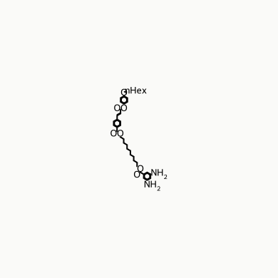 CCCCCCOc1ccc(OC(=O)C=Cc2ccc(C(=O)OCCCCCCCCCCCOC(=O)c3cc(N)cc(N)c3)cc2)cc1